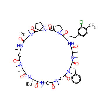 CCC(C)[C@@H]1NC(=O)[C@H](C)N(C)C(=O)C[C@@H](C)NC(=O)[C@H](C(C)C)N(C)C(=O)C2(CCCC2)NC(=O)[C@@H]2CCCN2C(=O)[C@H](CCc2ccc(C(F)(F)F)c(Cl)c2)NC(=O)[C@@H](C)N(C)C(=O)[C@H](Cc2ccccc2)N(C)C(=O)CN(C)C(=O)CN(C)C1=O